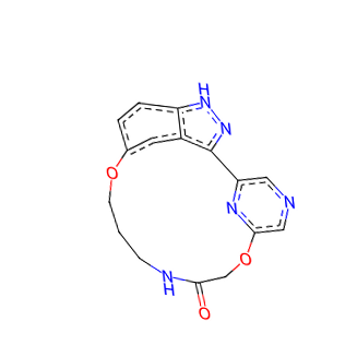 O=C1COc2cncc(n2)-c2n[nH]c3ccc(cc23)OCCCN1